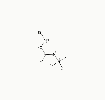 CC[SiH2]OC(C)=N[Si](C)(C)C